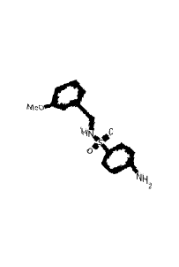 COc1cccc(CNS(=O)(=O)c2ccc(N)cc2)c1